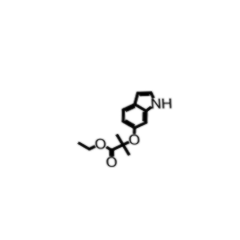 CCOC(=O)C(C)(C)Oc1ccc2cc[nH]c2c1